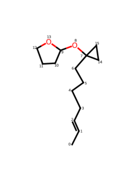 C/C=C/CCCCC1(OC2CCCO2)CC1